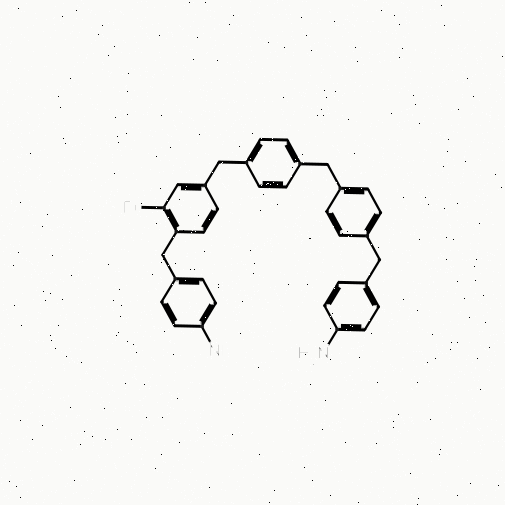 CCc1cc(Cc2ccc(Cc3ccc(Cc4ccc(N)cc4)cc3)cc2)ccc1Cc1ccc(N)cc1